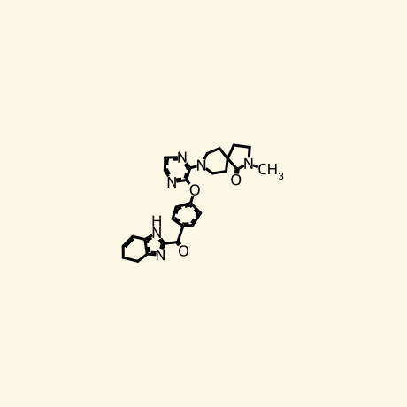 CN1CCC2(CCN(c3nccnc3Oc3ccc(C(=O)c4nc5c([nH]4)C=CCC5)cc3)CC2)C1=O